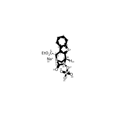 CCOC(=O)[C@@H]1c2c(sc3ccccc23)[C@H]2CN1C(=O)N2OS(=O)(=O)[O-].[Na+]